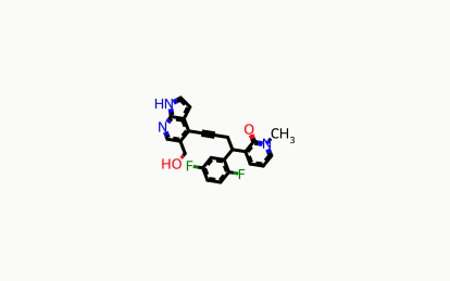 Cn1cccc(C(CC#Cc2c(CO)cnc3[nH]ccc23)c2cc(F)ccc2F)c1=O